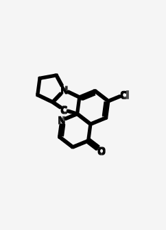 O=C1CC=NC23CC4CCCN4C2=CC(Cl)=CC13